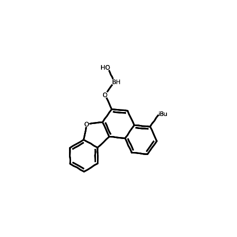 CCC(C)c1cccc2c1cc(OBO)c1oc3ccccc3c12